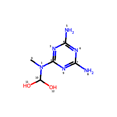 CN(c1nc(N)nc(N)n1)C(O)O